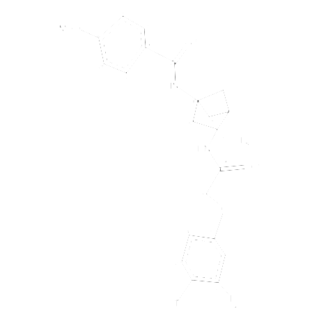 COc1ccc(C(=O)NC23CC(C2)[C@@H](NC(=O)COc2ccc(Cl)c(F)c2)C3)cc1